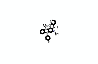 COc1ncccc1Nc1cc2nc3ccccc3n(-c3ccc(F)cc3)c-2c/c1=N\C(C)C